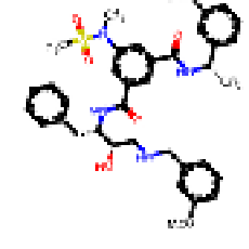 COc1cccc(CNC[C@@H](O)[C@H](Cc2ccccc2)NC(=O)c2cc(C(=O)N[C@@H](C)c3cccc(OC)c3)cc(N(C)S(C)(=O)=O)c2)c1